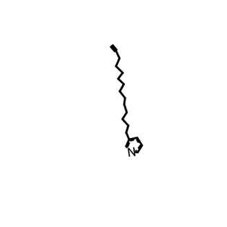 C#CCCCCCCCCCCCCc1cccnc1